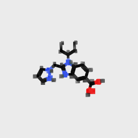 CCC(CC)n1c(Cn2cccn2)nc2cc(C(=O)O)ccc21